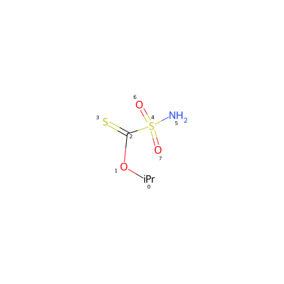 CC(C)OC(=S)S(N)(=O)=O